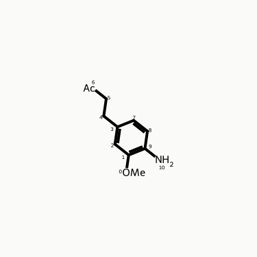 COc1cc(CCC(C)=O)ccc1N